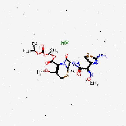 Br.COCC1=C(C(=O)OC(C)OC(=O)OC(C)C)N2C(=O)[C@@H](NC(=O)/C(=N\OC)c3csc(N)n3)[C@H]2SC1